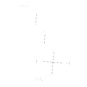 CCCCCCCCOCCC(O)(O)CN